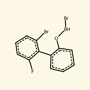 Fc1cccc(Br)c1-c1ccccc1OBBr